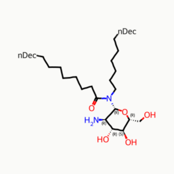 CCCCCCCCCCCCCCCCCC(=O)N(CCCCCCCCCCCCCCCC)[C@@H]1O[C@H](CO)[C@@H](O)[C@H](O)[C@H]1N